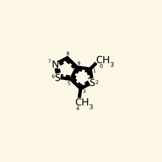 Cc1sc(C)c2sncc12